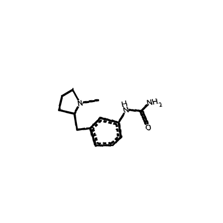 CN1CCCC1Cc1cccc(NC(N)=O)c1